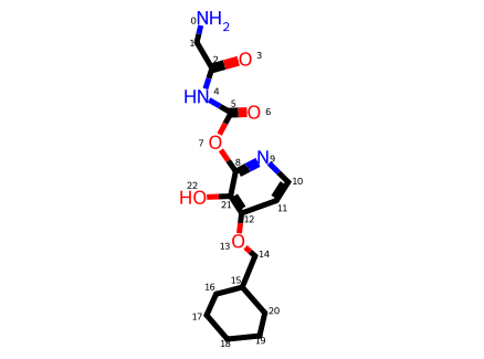 NCC(=O)NC(=O)Oc1nccc(OCC2CCCCC2)c1O